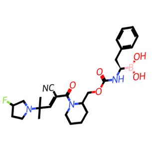 CC(C)(C=C(C#N)C(=O)N1CCCCC1COC(=O)N[C@@H](Cc1ccccc1)B(O)O)N1CCC(F)C1